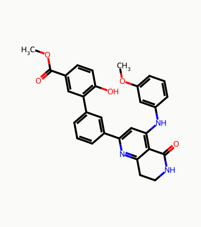 COC(=O)c1ccc(O)c(-c2cccc(-c3cc(Nc4cccc(OC)c4)c4c(n3)CCNC4=O)c2)c1